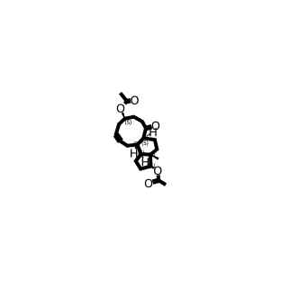 CC(=O)O[C@@H]1CC#CC[C@@H]2[C@H](CC[C@]3(C)[C@@H](OC(C)=O)CC[C@@H]23)C(=O)CC1